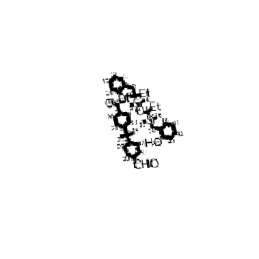 CCC(O[Si](C)(C)C(CC)(CC)Cc1ccccc1OC(=O)c1ccc(C(C)(C)c2ccc(C=O)cc2)cc1)[Si](C)(C)Cc1ccccc1O